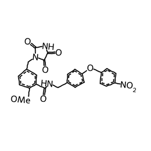 COc1ccc(CN2C(=O)NC(=O)C2=O)cc1C(=O)NCc1ccc(Oc2ccc([N+](=O)[O-])cc2)cc1